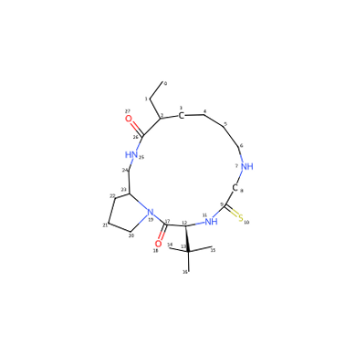 CCC1CCCCNCC(=S)N[C@@H](C(C)(C)C)C(=O)N2CCCC2CNC1=O